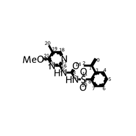 C=C(C)c1ccccc1S(=O)(=O)NC(=O)Nc1ncc(C)c(OC)n1